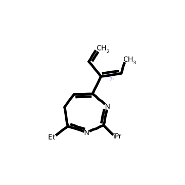 C=C/C(=C\C)C1=CCC(CC)=NC(C(C)C)=N1